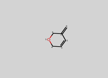 C=C1C=CCOC1